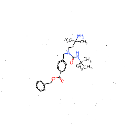 CC(C)(N)CCN(Cc1ccc(C(=O)OCc2ccccc2)cc1)C(=O)NC(C)(C)C